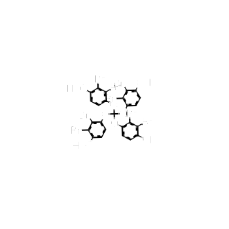 Cc1ccc(OC(Oc2ccc(C)c(Br)c2Br)(Oc2ccc(C)c(Br)c2Br)Oc2ccc(C)c(Br)c2Br)c(Br)c1Br